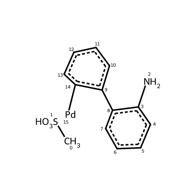 CS(=O)(=O)O.Nc1ccccc1-c1cccc[c]1[Pd]